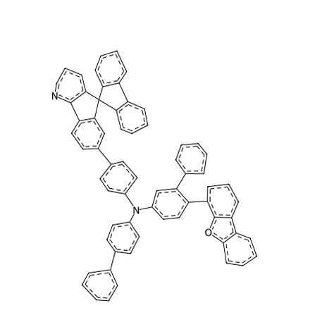 c1ccc(-c2ccc(N(c3ccc(-c4ccc5c(c4)C4(c6ccccc6-c6ccccc64)c4cccnc4-5)cc3)c3ccc(-c4cccc5c4oc4ccccc45)c(-c4ccccc4)c3)cc2)cc1